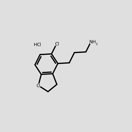 Cl.NCCCc1c(Cl)ccc2c1CCO2